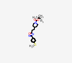 CSc1ccc(-c2noc(CCC3CCN(C(=O)OC(C)(C)C)CC3)n2)cc1